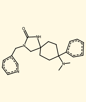 CN(C)C1(c2ccccc2)CCC2(CC1)CN(Cc1cccnc1)C(=O)N2